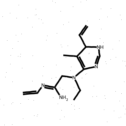 C=C/N=C(\N)CN(CC)C1=C(C)C(C=C)NC=N1